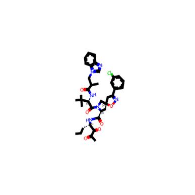 CCC[C@H](NC(=O)[C@@H]1C[C@]2(CC(c3cccc(Cl)c3)=NO2)CN1C(=O)[C@@H](NC(=O)C(C)Cn1cnc2ccccc21)C(C)(C)C)C(=O)C(C)=O